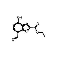 CCOC(=O)c1cc2c(O)ccc(C=O)c2o1